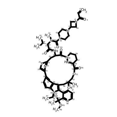 C=CC(=O)N1CC(N2CCN(C(=O)N(C)[C@H](C(=O)NC3Cc4nc(cs4)-c4ccc5c(c4)c(c(-c4cccnc4C(C)(O)OC)n5CC)CC(C)(C)COC(=O)[C@@H]4CCCN(N4)C3=O)C(C)C)CC2)C1